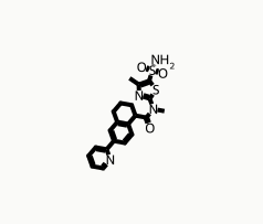 Cc1nc(N(C)C(=O)C2CCCc3cc(-c4ccccn4)ccc32)sc1S(N)(=O)=O